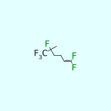 CC(F)(CCC=C(F)F)C(F)(F)F